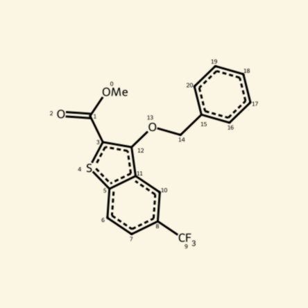 COC(=O)c1sc2ccc(C(F)(F)F)cc2c1OCc1ccccc1